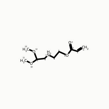 C=CC(=O)OCC[SiH2]CC(OC)OC